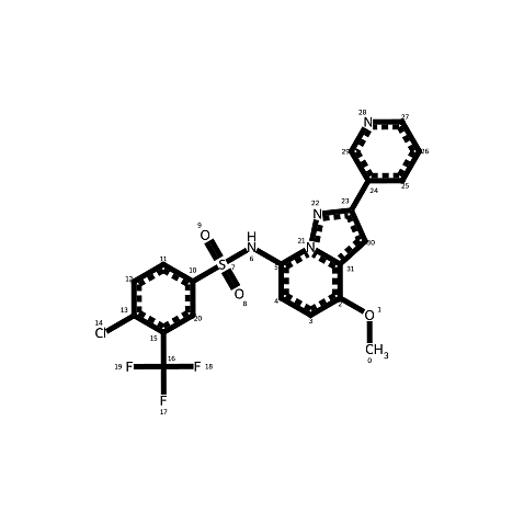 COc1ccc(NS(=O)(=O)c2ccc(Cl)c(C(F)(F)F)c2)n2nc(-c3cccnc3)cc12